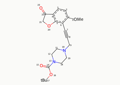 COc1ccc2c(c1C#CCN1CCN(C(=O)OC(C)(C)C)CC1)OCC2=O